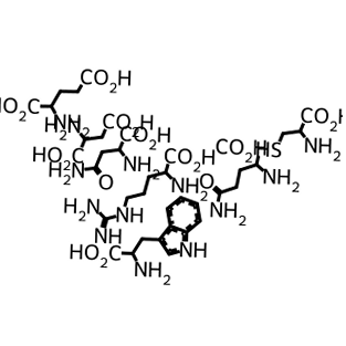 N=C(N)NCCCC(N)C(=O)O.NC(=O)CC(N)C(=O)O.NC(=O)CCC(N)C(=O)O.NC(CC(=O)O)C(=O)O.NC(CCC(=O)O)C(=O)O.NC(CS)C(=O)O.NC(Cc1c[nH]c2ccccc12)C(=O)O